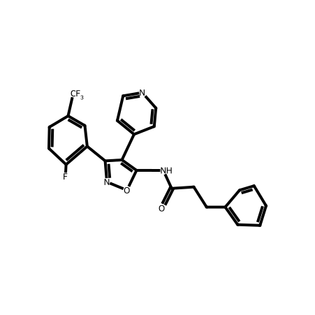 O=C(CCc1ccccc1)Nc1onc(-c2cc(C(F)(F)F)ccc2F)c1-c1ccncc1